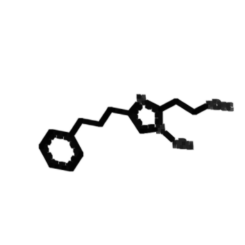 CCCCCCCCCCCCc1nc(CCCc2ccccc2)cn1CCCC